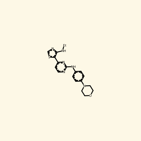 CCNc1ncsc1-c1ccnc(Nc2ccc(N3CCOCC3)cc2)n1